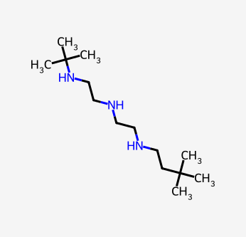 CC(C)(C)CCNCCNCCNC(C)(C)C